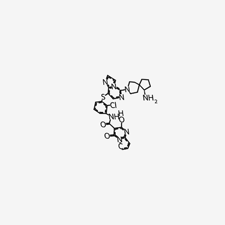 N[C@@H]1CCCC12CCN(c1ncc(Sc3cccc(NC(=O)c4c(O)nc5ccccn5c4=O)c3Cl)c3nccn13)CC2